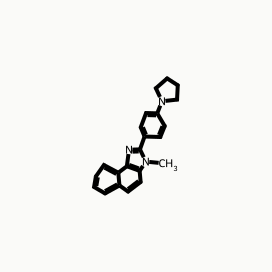 Cn1c(-c2ccc(N3CCCC3)cc2)nc2c3ccccc3ccc21